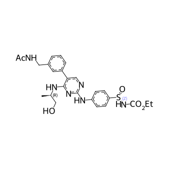 CCOC(=O)/N=[SH](=O)/c1ccc(Nc2ncc(-c3cccc(CNC(C)=O)c3)c(N[C@H](C)CO)n2)cc1